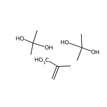 C=C(C)C(=O)O.CC(C)(O)O.CC(C)(O)O